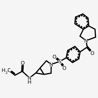 C=CC(=O)NC1C2CN(S(=O)(=O)c3ccc(C(=O)N4CCc5ccccc5C4)cc3)CC21